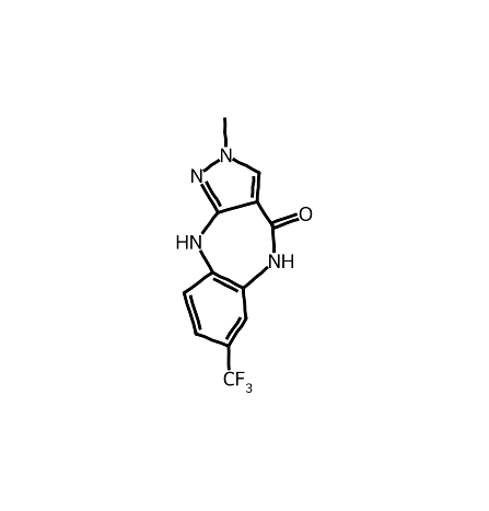 Cn1cc2c(n1)Nc1ccc(C(F)(F)F)cc1NC2=O